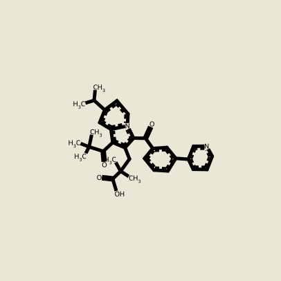 CC(C)c1ccn2c(C(=O)c3cccc(-c4cccnc4)c3)c(CC(C)(C)C(=O)O)c(C(=O)C(C)(C)C)c2c1